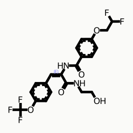 O=C(NCCO)/C(=C\c1ccc(OC(F)(F)F)cc1)NC(=O)c1ccc(OCC(F)F)cc1